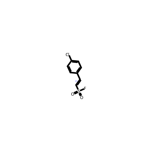 O=S(=O)(F)/C=C/c1ccc(Cl)cc1